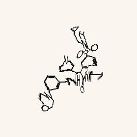 O=C1Nc2ccc(S(=O)(=O)NCC3CC3)cc2/C1=C(/Nc1cccc(N2CCOCC2)c1)c1ccncc1